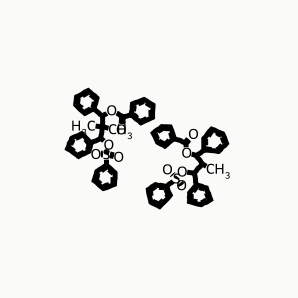 CC(C(OC(=O)c1ccccc1)c1ccccc1)C(OS(=O)(=O)c1ccccc1)c1ccccc1.CC(C)(C(OC(=O)c1ccccc1)c1ccccc1)C(OS(=O)(=O)c1ccccc1)c1ccccc1